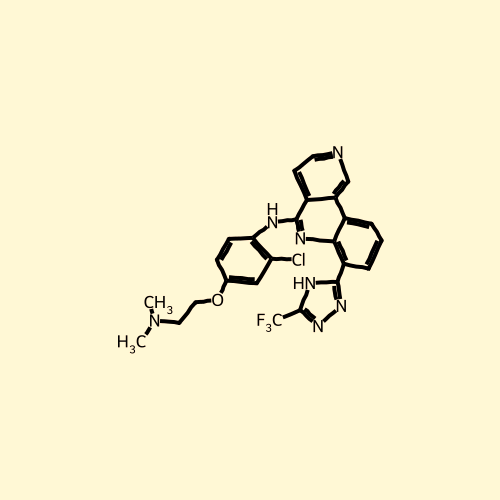 CN(C)CCOc1ccc(Nc2nc3c(-c4nnc(C(F)(F)F)[nH]4)cccc3c3cnccc23)c(Cl)c1